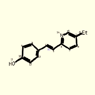 CCc1ccc(/C=C/c2ccc(O)cc2)nc1